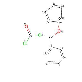 O=C(Cl)Cl.c1ccc(COc2ccccc2)cc1